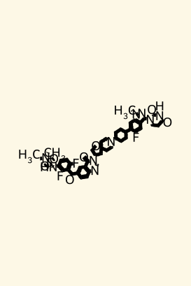 CCN(C)S(=O)(=O)Nc1ccc(F)c(C(=O)c2ccc3ncn(C4COC5(CCN(C6CCC(c7cc8c(cc7F)c(N7CCC(=O)NC7=O)nn8C)CC6)CC5)C4)c(=O)c3c2)c1F